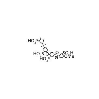 COc1ccc(S(=O)(=O)c2ccc(Oc3ccc(C(C)(C)c4ccc(C)c(S(=O)(=O)O)c4)cc3S(=O)(=O)O)c(S(=O)(=O)O)c2)cc1S(=O)(=O)O